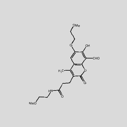 COCCNC(=O)CCc1c(C)c2cc(OCCOC)c(O)c(C=O)c2oc1=O